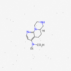 CCN(C(=O)O)c1ccnc2c1CC[C@@H]1CNCCN21